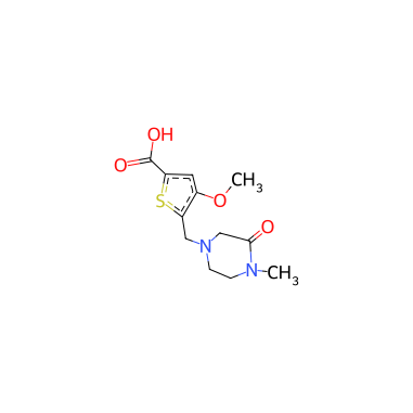 COc1cc(C(=O)O)sc1CN1CCN(C)C(=O)C1